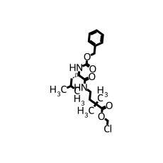 CC(C)C[C@H](NC(=O)OCc1ccccc1)C(=O)NCCC(C)(C)C(=O)OCCl